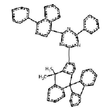 CC1(C)c2ccccc2C2(c3ccccc3-c3ccccc32)c2ccc(-c3nc(-c4ccccc4)nc(-c4ccc(-c5ccccc5)c5ccccc45)n3)cc21